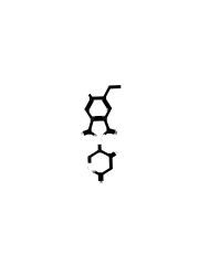 CCc1cc2c(cc1F)C(=O)N(C1CNC(=O)CC1=O)C2=O